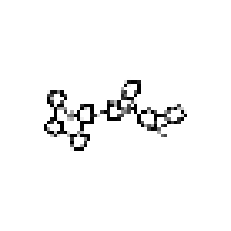 c1ccc2c(c1)-c1cc(-c3ccc4c(c3)c3ccccc3n4-c3ccc4oc5ccccc5c4c3)ccc1-n1c3ccccc3c3cccc-2c31